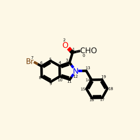 O=CC(=O)c1c2cc(Br)ccc2cn1Cc1ccccc1